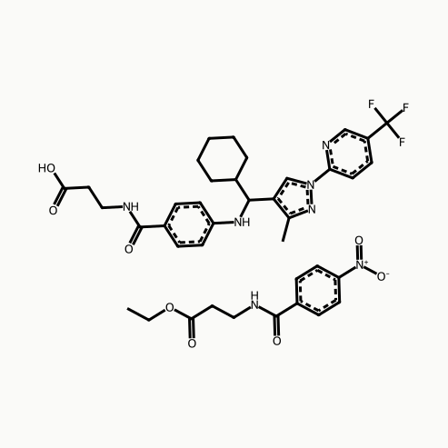 CCOC(=O)CCNC(=O)c1ccc([N+](=O)[O-])cc1.Cc1nn(-c2ccc(C(F)(F)F)cn2)cc1C(Nc1ccc(C(=O)NCCC(=O)O)cc1)C1CCCCC1